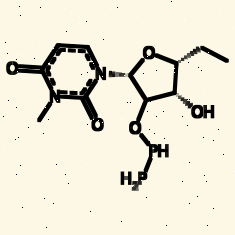 CC[C@H]1O[C@@H](n2ccc(=O)n(C)c2=O)C(OPP)[C@H]1O